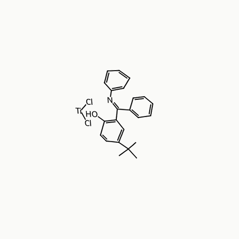 CC(C)(C)c1ccc(O)c(C(=Nc2ccccc2)c2ccccc2)c1.[Cl][Ti][Cl]